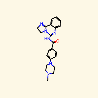 CN1CCN(c2ccc(C(=O)NC3=Nc4ccccc4C4=NCCN34)cc2)CC1